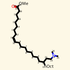 CCCCCCCCC(CCCCCCCC/C=C\CCCCCCCC(=O)OC)CCN(C)C